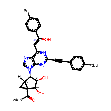 CNC(=O)[C@@]12C[C@@H]1[C@@H](n1cnc3c(/C=C(\O)c4ccc(C(C)(C)C)cc4)nc(C#Cc4ccc(C(C)(C)C)cc4)nc31)[C@@H](O)[C@H]2O